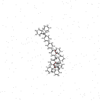 c1ccc(-c2cccc(-c3ccccc3)c2N(c2ccc(-c3ccc(-c4ccc(-n5c6ccccc6c6ccccc65)cc4)cc3)cc2)c2ccc3c(c2)C(c2ccccc2)(c2ccccc2)c2ccccc2-3)cc1